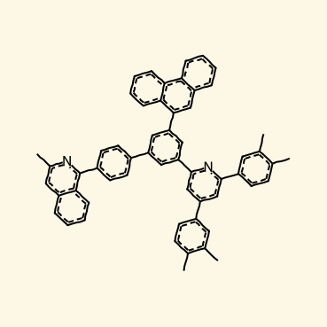 Cc1cc2ccccc2c(-c2ccc(-c3cc(-c4cc(-c5ccc(C)c(C)c5)cc(-c5ccc(C)c(C)c5)n4)cc(-c4cc5ccccc5c5ccccc45)c3)cc2)n1